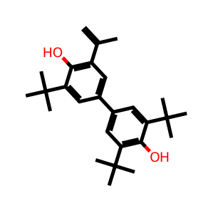 C=C(C)c1cc(-c2cc(C(C)(C)C)c(O)c(C(C)(C)C)c2)cc(C(C)(C)C)c1O